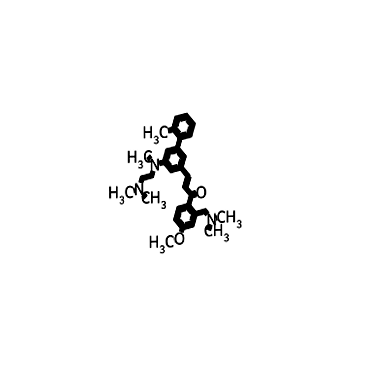 COc1ccc(C(=O)C=Cc2cc(-c3ccccc3C)cc(N(C)CCN(C)C)c2)c(CN(C)C)c1